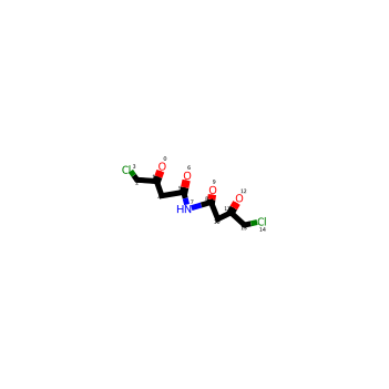 O=C(CCl)CC(=O)NC(=O)CC(=O)CCl